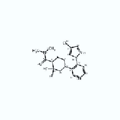 CN(C)C(=O)C1CCN(c2cnccc2-n2cc(Cl)cn2)CC1(F)F